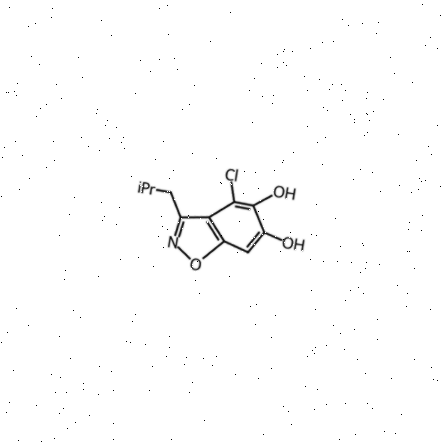 CC(C)Cc1noc2cc(O)c(O)c(Cl)c12